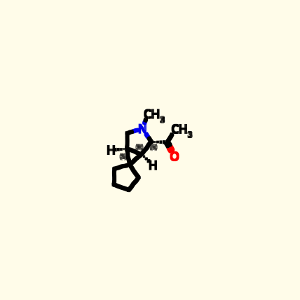 CC(=O)[C@@H]1[C@@H]2[C@H](CN1C)C21CCCC1